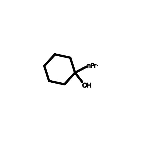 CC[CH]C1(O)CCCCC1